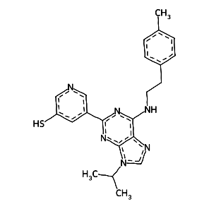 Cc1ccc(CCNc2nc(-c3cncc(S)c3)nc3c2ncn3C(C)C)cc1